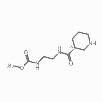 CC(C)(C)OC(=O)NCCNC(=O)[C@H]1CCCNC1